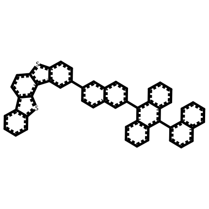 c1ccc2c(-c3c4ccccc4c(-c4ccc5cc(-c6ccc7sc8ccc9c%10ccccc%10sc9c8c7c6)ccc5c4)c4ccccc34)cccc2c1